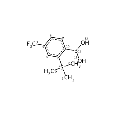 C[Si](C)(C)c1cc(C(F)(F)F)ccc1B(O)O